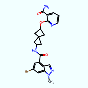 Cn1ncc2c(C(=O)NC3CC4(C3)CC(Oc3ncccc3C(N)=O)C4)cc(Br)cc21